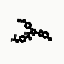 COc1ccc(-n2cc(-c3cc4cc(Cl)ccc4o3)nc2NC(=O)c2ccc(OC(F)F)cc2)cc1